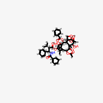 CC(=O)OC1C(=O)C2(C)C(O)CC3OC[C@@]3(OC(C)=O)[C@H]2[C@H](OC(=O)c2ccccc2)C2(O)C[C@H](OC(=O)[C@H](C(C)C)[C@@H](NC(=O)c3ccccc3)c3ccccc3)C(C)=C1C2(C)C